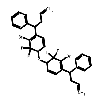 C=CCC(C1=C(Br)C(F)(F)C(SC2C=CC(C(CC=C)c3ccccc3)=C(Br)C2(F)F)C=C1)c1ccccc1